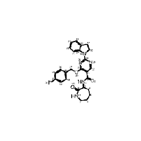 O=C(NC1CCCCNC1=O)c1cnc(N2CCc3ccccc32)nc1OCc1ccc(F)cc1